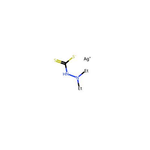 CCN(CC)NC(=S)[S-].[Ag+]